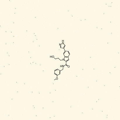 COc1cccc(CNC(=O)c2cc3ccc(-c4cn[nH]c4)cc3n2CCCO)c1